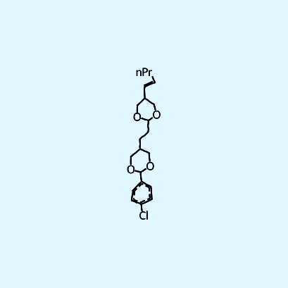 CCC/C=C/C1COC(CCC2COC(c3ccc(Cl)cc3)OC2)OC1